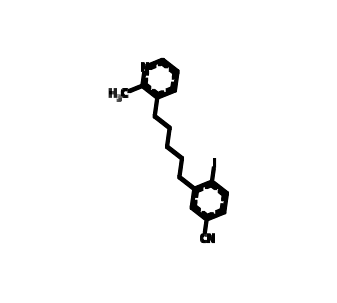 Cc1ncccc1CCCCCc1cc(C#N)ccc1I